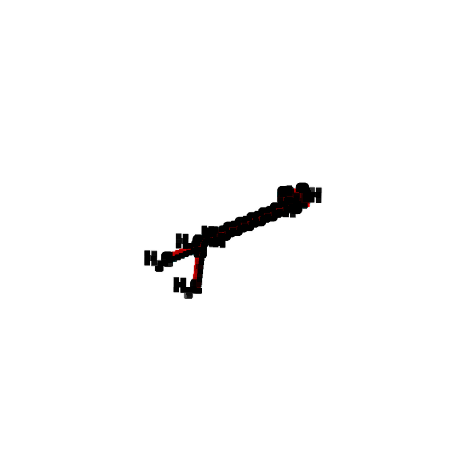 CCCCCCCCCCCCCCCCOCC(CN(C)CCCNC(=O)CCC(=O)NCCOCCOCCOCCOCCOCCOCCOCCOCCOCCOCCOCCOCCC(=O)NCCC1(C(=O)N[C@@H](Cc2ccc(NC(=O)c3c(Cl)cccc3Cl)cc2)C(=O)O)CCCC1)OCCCCCCCCCCCCCCCC